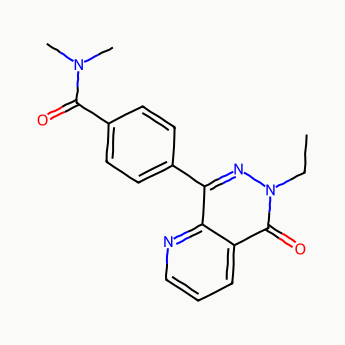 CCn1nc(-c2ccc(C(=O)N(C)C)cc2)c2ncccc2c1=O